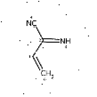 C=CC(=N)C#N